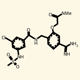 CNC(=O)COc1cc(C(=N)N)ccc1CNC(=O)c1cc(Cl)cc(NS(C)(=O)=O)c1